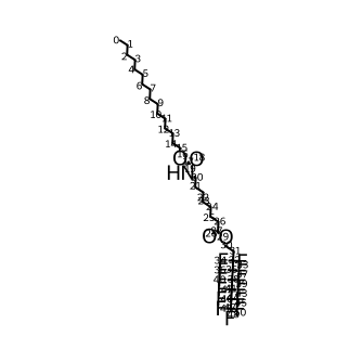 CCCCCCCCCCCCCCCCOC(=O)NCCCCCCCC(=O)OCCC(F)(F)C(F)(F)C(F)(F)C(F)(F)C(F)(F)C(F)(F)F